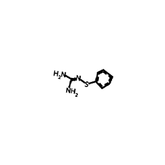 NC(N)=NSc1ccccc1